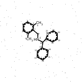 Cc1cccc(C)c1CNC(c1ccccc1)c1ccccn1